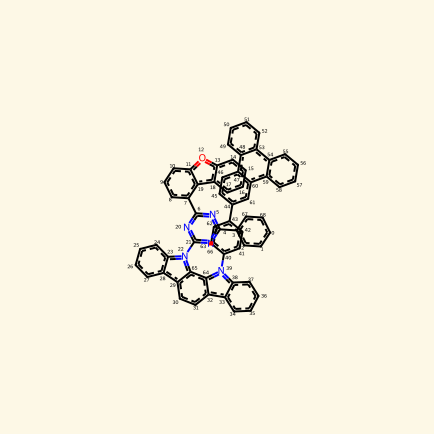 c1ccc(-c2nc(-c3cccc4oc5ccccc5c34)nc(-n3c4ccccc4c4ccc5c6ccccc6n(-c6ccc(-c7ccc8c9ccccc9c9ccccc9c8c7)cc6)c5c43)n2)cc1